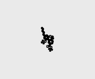 CCCCCc1cc2c(c(O[Si](C)(C)C)c1)C1C=C(C(=O)O[Si](C)(C)C)CCC1C(C)(C)O2